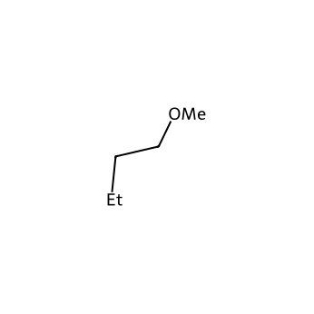 [CH]OCCCC